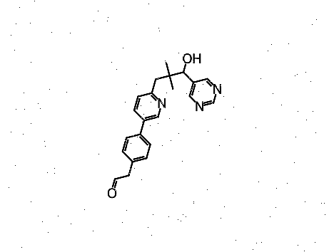 CC(C)(Cc1ccc(-c2ccc(CC=O)cc2)cn1)C(O)c1cncnc1